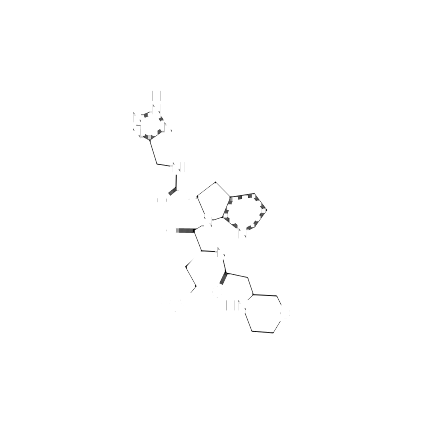 O=C(O)CC[C@H](NC(=O)CC1COCCN1)C(=O)N1c2ncccc2C[C@H]1C(=O)NCc1nn[nH]n1